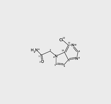 NC(=O)Cn1ccc2ncnc(Cl)c21